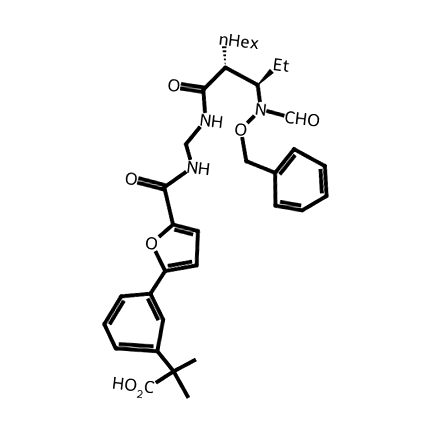 CCCCCC[C@@H](C(=O)NCNC(=O)c1ccc(-c2cccc(C(C)(C)C(=O)O)c2)o1)[C@@H](CC)N(C=O)OCc1ccccc1